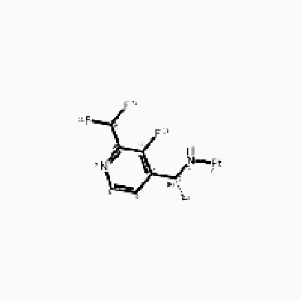 CCN[C@H](C)c1ccnc(C(F)F)c1F